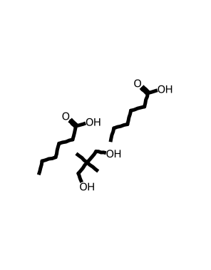 CC(C)(CO)CO.CCCCCC(=O)O.CCCCCC(=O)O